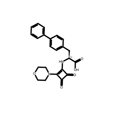 O=C(O)[C@H](Cc1ccc(-c2ccccc2)cc1)Nc1c(N2CCOCC2)c(=O)c1=O